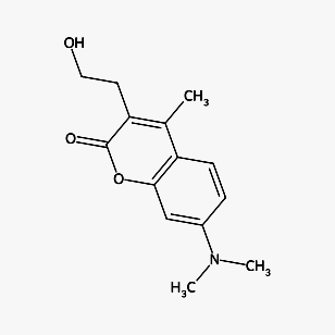 Cc1c(CCO)c(=O)oc2cc(N(C)C)ccc12